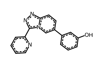 Oc1cccc(-c2ccc3nnc(-c4ccccn4)n3c2)c1